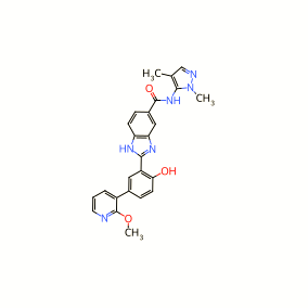 COc1ncccc1-c1ccc(O)c(-c2nc3cc(C(=O)Nc4c(C)cnn4C)ccc3[nH]2)c1